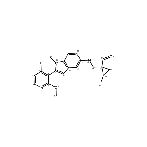 COc1nccc(F)c1-c1cc2cc(NCC3(C=O)CC3F)ncc2n1C